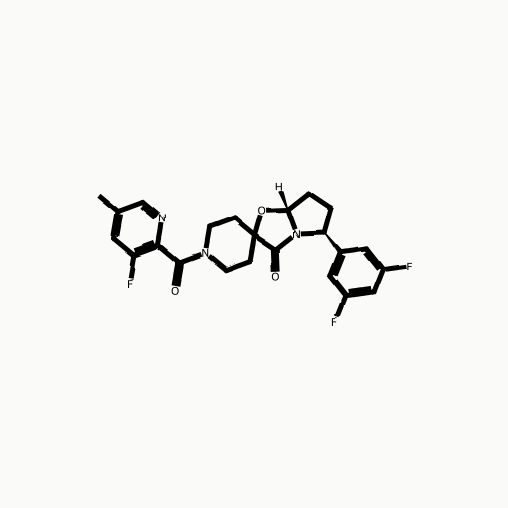 Cc1cnc(C(=O)N2CCC3(CC2)O[C@@H]2CC[C@@H](c4cc(F)cc(F)c4)N2C3=O)c(F)c1